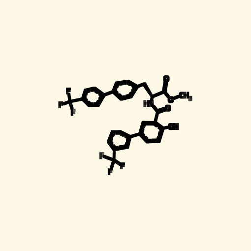 COC(=O)[C@H](Cc1ccc(-c2ccc(C(F)(F)F)cc2)cc1)NC(=O)c1cc(-c2cccc(C(F)(F)F)c2)ccc1O